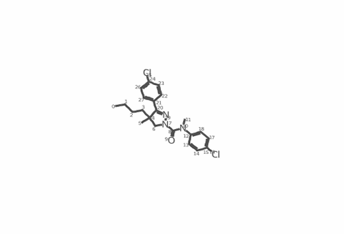 CCCCC1(C)CN(C(=O)N(C)c2ccc(Cl)cc2)N=C1c1ccc(Cl)cc1